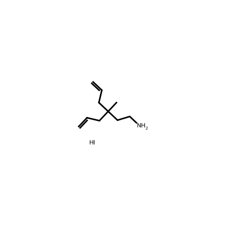 C=CCC(C)(CC=C)CCN.I